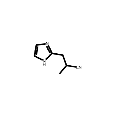 CC(C#N)Cc1ncc[nH]1